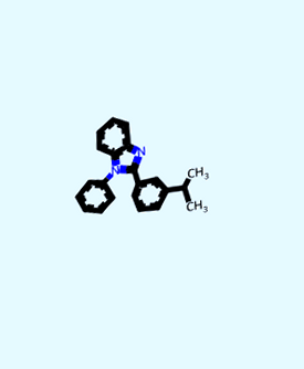 CC(C)c1cccc(-c2nc3ccccc3n2-c2ccccc2)c1